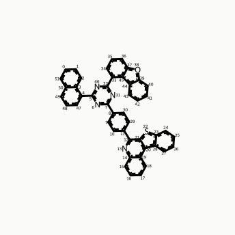 c1ccc2c(-c3nc(-c4ccc(-c5nc6ccccc6c6c5sc5ccccc56)cc4)nc(-c4cccc5oc6ccccc6c45)n3)cccc2c1